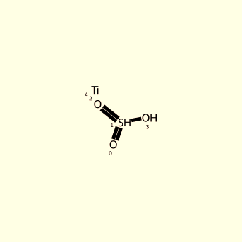 O=[SH](=O)O.[Ti]